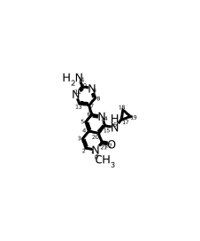 Cn1ccc2cc(-c3cnc(N)nc3)nc(NC3CC3)c2c1=O